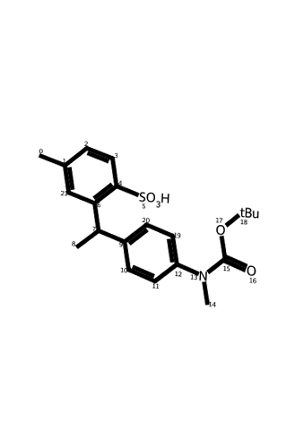 Cc1ccc(S(=O)(=O)O)c(C(C)c2ccc(N(C)C(=O)OC(C)(C)C)cc2)c1